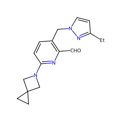 CCc1ccn(Cc2ccc(N3CC4(CC4)C3)nc2C=O)n1